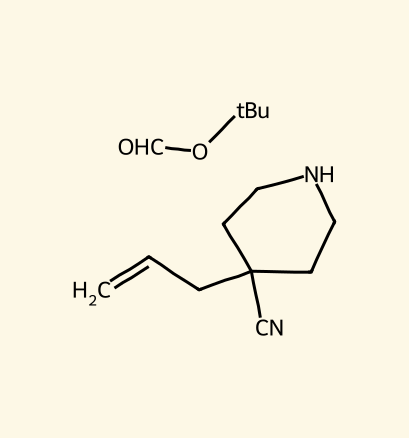 C=CCC1(C#N)CCNCC1.CC(C)(C)OC=O